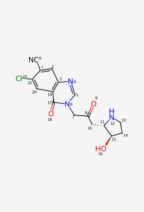 N#Cc1cc2ncn(CC(=O)C[C@@H]3NCC[C@H]3O)c(=O)c2cc1Cl